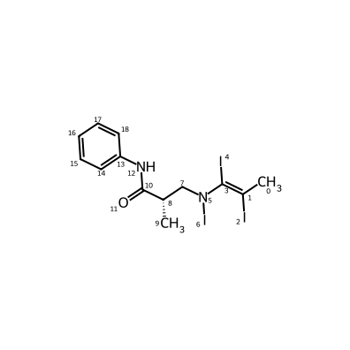 C/C(I)=C(\I)N(I)C[C@H](C)C(=O)Nc1ccccc1